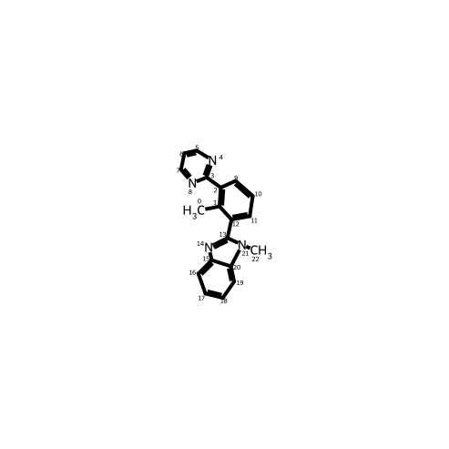 Cc1c(-c2ncccn2)cccc1-c1nc2ccccc2n1C